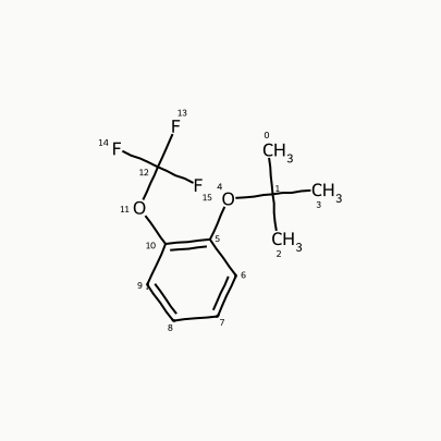 CC(C)(C)Oc1ccc[c]c1OC(F)(F)F